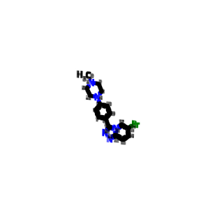 CN1CCN(c2ccc(-c3nnc4ccc(Br)cn34)cc2)CC1